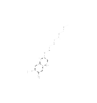 CCCCCCCCCCc1cnc2cc(Br)c(Br)cc2n1